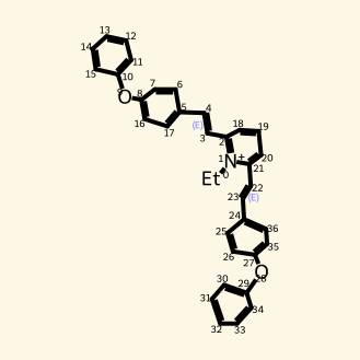 CC[n+]1c(/C=C/c2ccc(Oc3ccccc3)cc2)cccc1/C=C/c1ccc(Oc2ccccc2)cc1